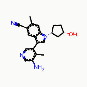 Cc1cc2c(cc1C#N)c(-c1cncc(N)c1C)cn2[C@@H]1CC[C@H](O)C1